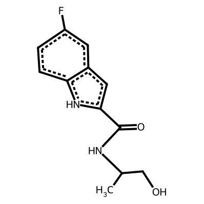 CC(CO)NC(=O)c1cc2cc(F)ccc2[nH]1